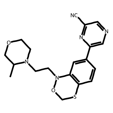 CC1COCCN1CCN1OCSc2ccc(-c3cncc(C#N)n3)cc21